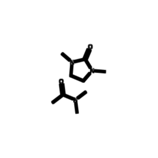 CC(=O)N(C)C.CN1CCN(C)C1=O